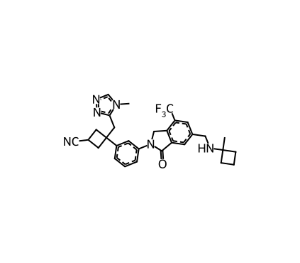 Cn1cnnc1CC1(c2cccc(N3Cc4c(cc(CNC5(C)CCC5)cc4C(F)(F)F)C3=O)c2)CC(C#N)C1